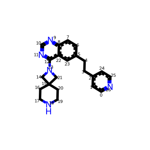 c1cc(CCc2ccc3ncnc(N4CC5(CCNCC5)C4)c3c2)ccn1